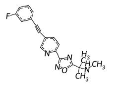 CNC(C)(C)c1nc(-c2ccc(C#Cc3cccc(F)c3)cn2)no1